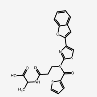 CC(NC(=O)CCN(C(=O)c1cccs1)c1nc(-c2cc3ccccc3o2)cs1)C(=O)O